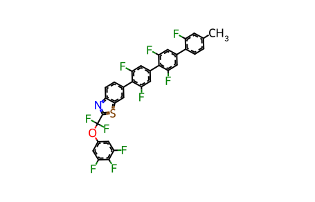 Cc1ccc(-c2cc(F)c(-c3cc(F)c(-c4ccc5nc(C(F)(F)Oc6cc(F)c(F)c(F)c6)sc5c4)c(F)c3)c(F)c2)c(F)c1